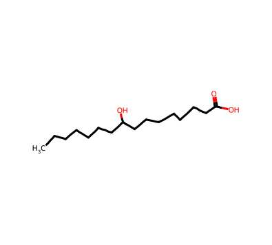 CCCCCCCC(O)CCCCCCCC(=O)O